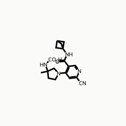 CC1(NC(=O)O)CCN(c2cc(C#N)ncc2C(=O)NC23CC(C2)C3)C1